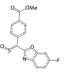 COC(=O)c1ccc(C(=S=O)c2nc3ccc(F)cc3o2)cc1